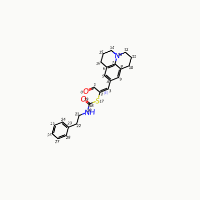 O=C/C(=C\c1cc2c3c(c1)CCCN3CCC2)SC(=O)NCCc1ccccc1